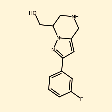 OCC1CNCc2cc(-c3cccc(F)c3)nn21